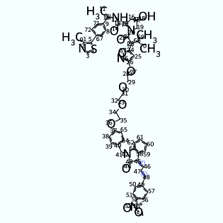 Cc1ncsc1-c1ccc([C@H](C)NC(=O)[C@@H]2C[C@@H](O)CN2C(=O)[C@H](c2cc(OCCOCCOCCOc3ccc(CN4C(=O)/C(=C\C=C\c5ccc([N+](=O)[O-])cc5)c5ccccc54)cc3)no2)C(C)C)cc1